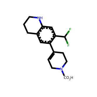 O=C(O)N1CC=C(c2cc3c(cc2C(F)F)NCCC3)CC1